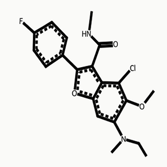 CCN(C)c1cc2oc(-c3ccc(F)cc3)c(C(=O)NC)c2c(Cl)c1OC